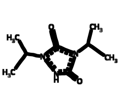 CC(C)n1[nH]c(=O)n(C(C)C)c1=O